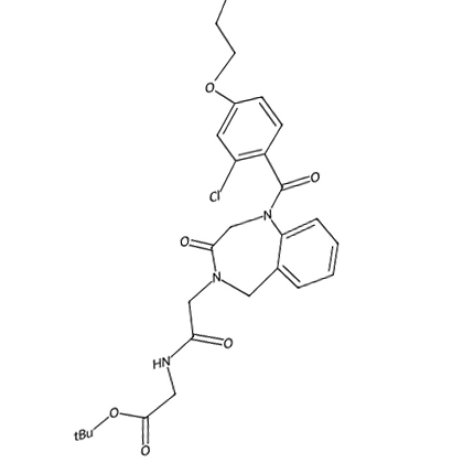 CC(C)(C)OC(=O)CNC(=O)CN1Cc2ccccc2N(C(=O)c2ccc(OCCO)cc2Cl)CC1=O